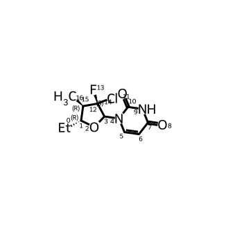 CC[C@H]1OC(n2ccc(=O)[nH]c2=O)[C@@](F)(Cl)[C@@H]1C